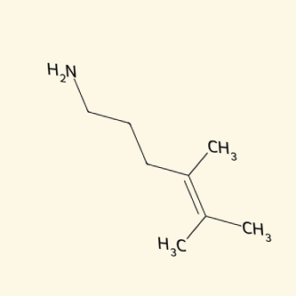 CC(C)=C(C)CCCN